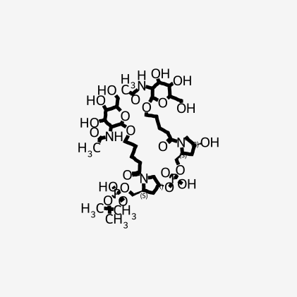 CC(=O)NC1C(OCCCCC(=O)N2C[C@H](O)C[C@H]2COP(=O)(O)O[C@@H]2C[C@@H](COP(=O)(O)OC(C)(C)C)N(C(=O)CCCCOC3OC(CO)C(O)C(O)C3NC(C)=O)C2)OC(CO)C(O)C1O